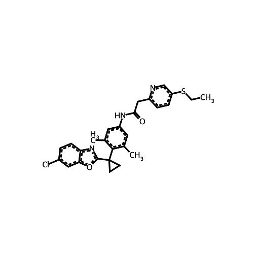 CCSc1ccc(CC(=O)Nc2cc(C)c(C3(c4nc5ccc(Cl)cc5o4)CC3)c(C)c2)nc1